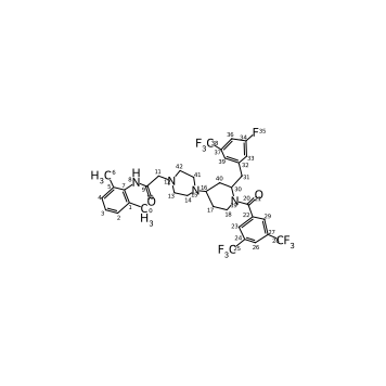 Cc1cccc(C)c1NC(=O)CN1CCN(C2CCN(C(=O)c3cc(C(F)(F)F)cc(C(F)(F)F)c3)C(Cc3cc(F)cc(C(F)(F)F)c3)C2)CC1